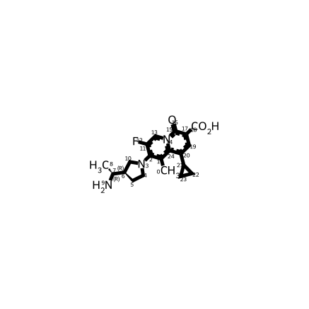 Cc1c(N2CC[C@@H]([C@@H](C)N)C2)c(F)cn2c(=O)c(C(=O)O)cc(C3CC3)c12